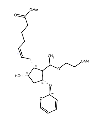 COCCOC(C)C1[C@@H](C/C=C\CCCC(=O)OC)[C@@H](O)C[C@H]1O[C@H]1C=CC=CO1